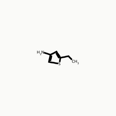 CCc1cc(N)cs1